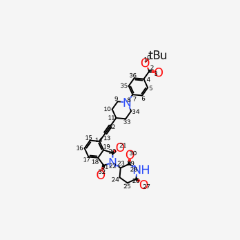 CC(C)(C)OC(=O)c1ccc(N2CCC(C#Cc3cccc4c3C(=O)N(C3CCC(=O)NC3=O)C4=O)CC2)cc1